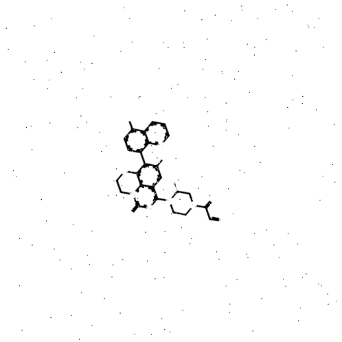 C=CC(=O)N1CCN(c2nc(=O)n3c4c(c(-c5ccc(F)c6cccnc56)c(Cl)cc24)SCC3)[C@@H](C)C1